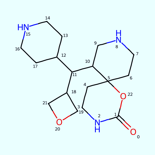 O=C1NCCC2(CCNCC2C(C2CCNCC2)C2COC2)O1